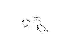 COc1ccccc1CCC(C)(O)C(=O)Nc1ccnc(Br)c1